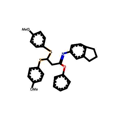 COc1ccc(SC(CC(=Nc2ccc3c(c2)CCC3)Oc2ccccc2)Sc2ccc(OC)cc2)cc1